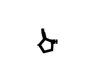 S=C1[CH]CCN1